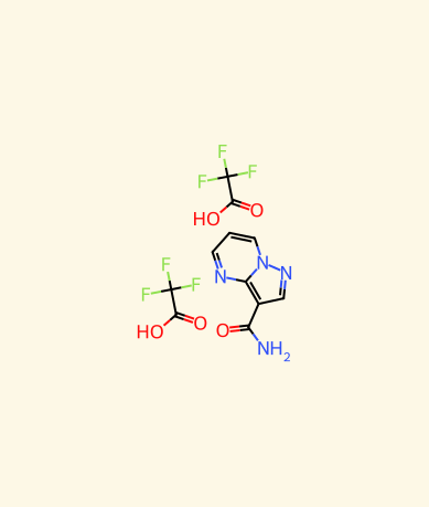 NC(=O)c1cnn2cccnc12.O=C(O)C(F)(F)F.O=C(O)C(F)(F)F